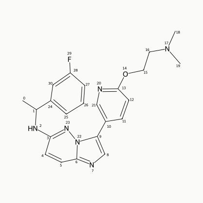 CC(Nc1ccc2ncc(-c3ccc(OCCN(C)C)nc3)n2n1)c1cccc(F)c1